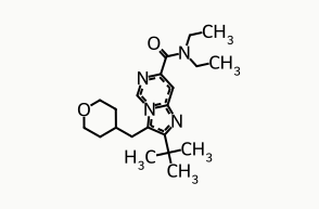 CCN(CC)C(=O)c1cc2nc(C(C)(C)C)c(CC3CCOCC3)n2cn1